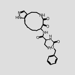 CC(C)CC(NC(=O)OCc1ccccc1)C(=O)NC1CCCCc2[nH]ncc2CCNC(=O)C1=O